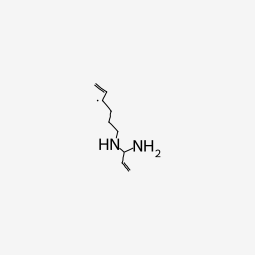 C=C[CH]CCCNC(N)C=C